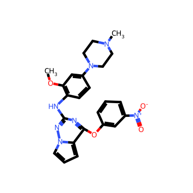 COc1cc(N2CCN(C)CC2)ccc1Nc1nc(Oc2cccc([N+](=O)[O-])c2)c2cccn2n1